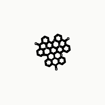 O=C1c2ccccc2C2c3c1cccc3C(=O)c1c2c2c(=O)c3cccc4c(=O)c5ccccc5n(c43)c2c2c(=O)c3cccc4c(=O)c5ccccc5n(c12)c43